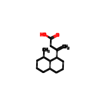 C=C(CC(=O)O)C1CCCC2CCCC(C)C21